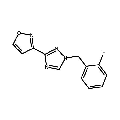 Fc1ccccc1Cn1cnc(-c2ccon2)n1